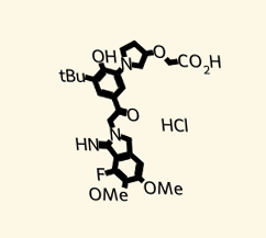 COc1cc2c(c(F)c1OC)C(=N)N(CC(=O)c1cc(N3CCC(OCC(=O)O)C3)c(O)c(C(C)(C)C)c1)C2.Cl